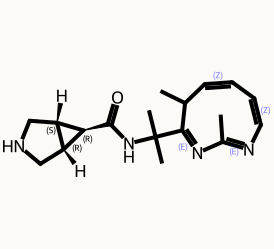 CC1=N\C=C/C=C\C(C)/C(C(C)(C)NC(=O)[C@H]2[C@@H]3CNC[C@@H]32)=N\1